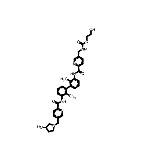 Cc1c(NC(=O)c2ccc(CNC(=O)OCCO)cn2)cccc1-c1cccc(NC(=O)c2ccc(CN3CC[C@@H](O)C3)cn2)c1C